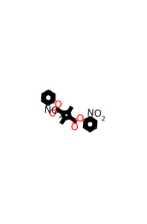 CC1C(C(=O)Oc2ccccc2[N+](=O)[O-])C(C)C1C(=O)Oc1ccccc1[N+](=O)[O-]